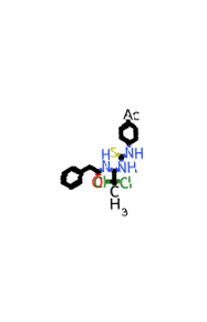 CC(=O)c1ccc(NC(=S)NC(NC(=O)Cc2ccccc2)C(C)(Cl)Cl)cc1